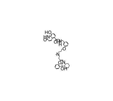 CN(CCCOc1cccc(CNC[C@H](O)c2ccc(O)c3[nH]c(=O)ccc23)c1)CCc1cnc(C(O)(c2ccccc2)C2CCCCC2)o1